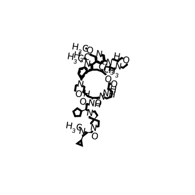 CCn1c(-c2cc(N3CCN4CCOC[C@@H]4C3)cnc2[C@H](C)OC)c2c3cc(ccc31)N1CCO[C@@H](C[C@H](NC(=O)[C@H](C3CCCC3)N3CC[C@]4(CCN(C(=O)[C@H]5[C@@H](C6CC6)N5C)C4)C3)C(=O)N3CCC[C@H](N3)C(=O)OCC(C)(C)C2)C1